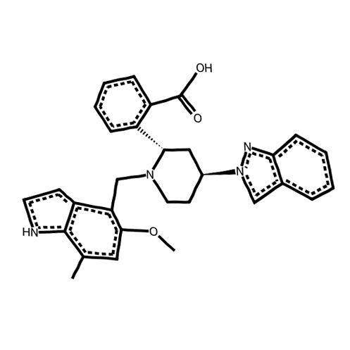 COc1cc(C)c2[nH]ccc2c1CN1CC[C@H](n2cc3ccccc3n2)C[C@H]1c1ccccc1C(=O)O